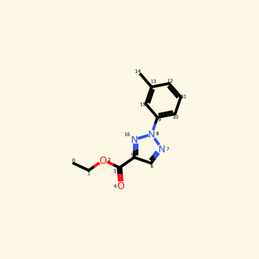 CCOC(=O)c1cnn(-c2cccc(C)c2)n1